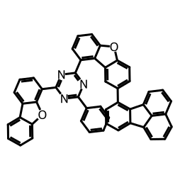 c1ccc(-c2nc(-c3cccc4c3oc3ccccc34)nc(-c3cccc4oc5ccc(-c6cccc7c6-c6cccc8cccc-7c68)cc5c34)n2)cc1